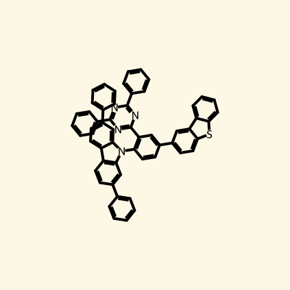 c1ccc(-c2ccc3c4ccc(-c5ccccc5)cc4n(-c4ccc(-c5ccc6sc7ccccc7c6c5)cc4-c4nc(-c5ccccc5)nc(-c5ccccc5)n4)c3c2)cc1